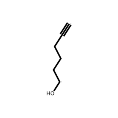 [C]#CCCC[CH]O